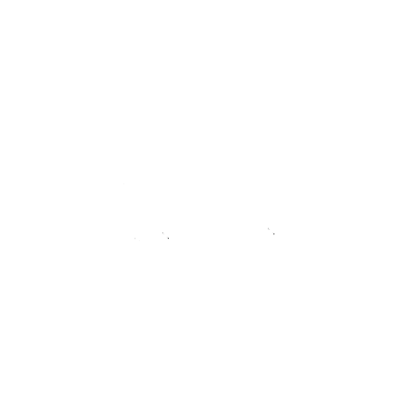 CSC(=O)NC(CCN1CCCCC1)C(C)C